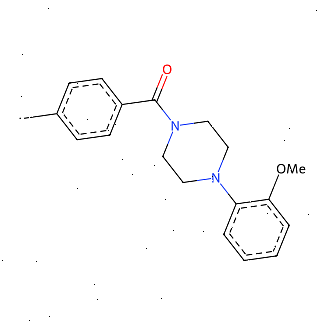 [CH2]c1ccc(C(=O)N2CCN(c3ccccc3OC)CC2)cc1